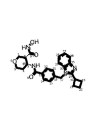 O=C(N[C@@H]1CCOC[C@@H]1C(=O)NO)c1ccc(Cn2c(C3CCC3)nc3ccccc32)cc1